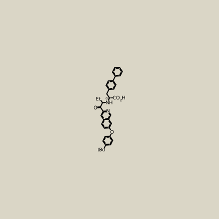 CCC(N[C@@H](Cc1ccc(-c2ccccc2)cc1)C(=O)O)C(=O)c1cc2ccc(Oc3ccc(C(C)(C)C)cc3)cc2cn1